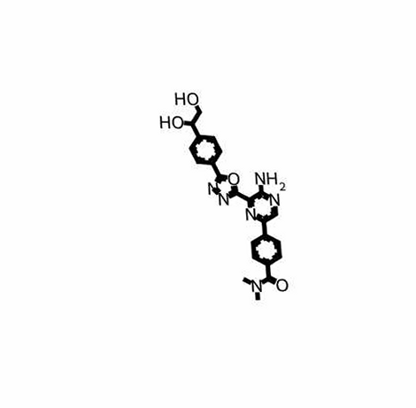 CN(C)C(=O)c1ccc(-c2cnc(N)c(-c3nnc(-c4ccc(C(O)CO)cc4)o3)n2)cc1